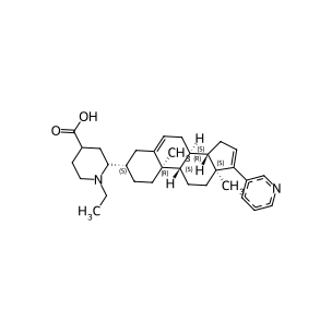 CCN1CCC(C(=O)O)CC1[C@H]1CC[C@@]2(C)C(=CC[C@@H]3[C@@H]2CC[C@]2(C)C(c4cccnc4)=CC[C@@H]32)C1